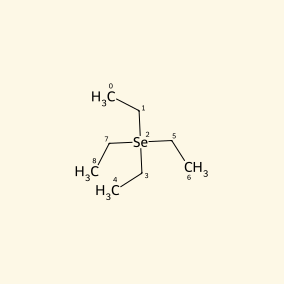 CC[Se](CC)(CC)CC